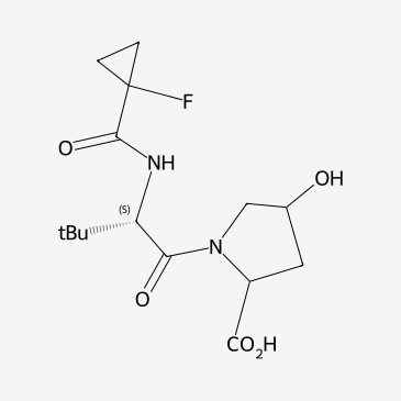 CC(C)(C)[C@H](NC(=O)C1(F)CC1)C(=O)N1CC(O)CC1C(=O)O